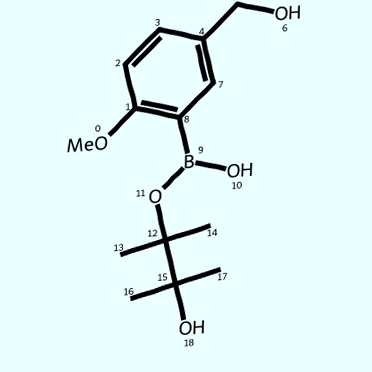 COc1ccc(CO)cc1B(O)OC(C)(C)C(C)(C)O